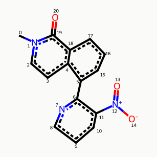 Cn1ccc2c(-c3ncccc3[N+](=O)[O-])cccc2c1=O